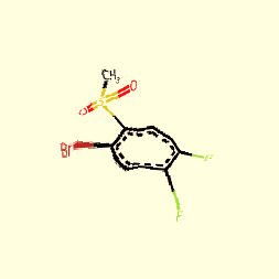 CS(=O)(=O)c1cc(F)c(F)cc1Br